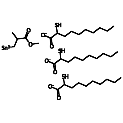 CCCCCCCCC(S)C(=O)[O-].CCCCCCCCC(S)C(=O)[O-].CCCCCCCCC(S)C(=O)[O-].COC(=O)C(C)[CH2][Sn+3]